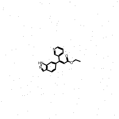 CCOC(=O)C=C(c1cccnc1)c1ccc2cn[nH]c2c1